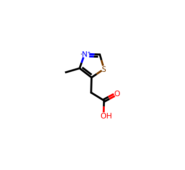 CC1=C(CC(=O)O)SC=[N+]1